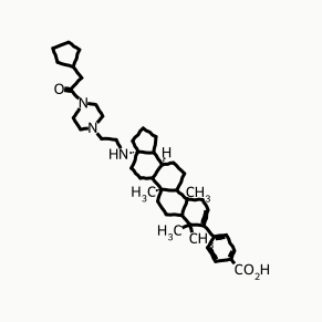 CC1(C)C(c2ccc(C(=O)O)cc2)=CC[C@@]2(C)C1CC[C@@]1(C)C3CC[C@@]4(NCCN5CCN(C(=O)CC6CCCC6)CC5)CCCC4[C@H]3CCC12